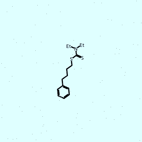 CCN(CC)C(=S)SCCCCc1ccccc1